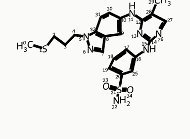 CSCCCn1ncc2cc(Nc3nc(Nc4cccc(S(N)(=O)=O)c4)ncc3C)ccc21